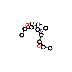 CC1(C)c2cc3oc4ccc(-c5ccccc5)cc4c3cc2-c2cc3c4cc(-c5ccc6oc7ccc(-c8ccccc8)cc7c6c5)ccc4n(-c4ccccc4)c3cc21